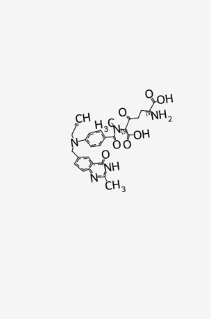 C#CCN(Cc1ccc2nc(C)[nH]c(=O)c2c1)c1ccc(C(=O)N(C)[C@H](C(=O)O)C(=O)CC[C@H](N)C(=O)O)cc1